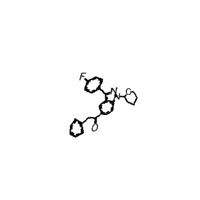 O=C(Cc1ccccc1)c1ccc2c(c1)c(-c1ccc(F)cc1)nn2C1CCCCO1